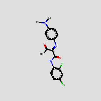 CCN(CC)c1ccc(N=C(C(=O)Nc2ccc(Cl)cc2Cl)C(=O)C(C)(C)C)cc1